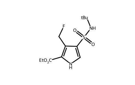 CCOC(=O)c1[nH]cc(S(=O)(=O)NC(C)(C)C)c1CF